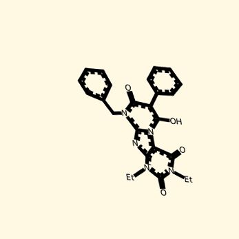 CCn1c(=O)c2c(nc3n(Cc4ccccc4)c(=O)c(-c4ccccc4)c(O)n23)n(CC)c1=O